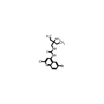 CCC(N)(CC)CNC(=O)Nc1cc(Cl)nc2ccc(Br)cc12